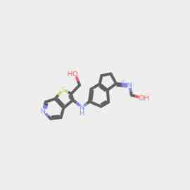 OC/N=C1/CCc2cc(Nc3c(CO)sc4cnccc34)ccc21